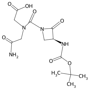 CC(C)(C)OC(=O)N[C@H]1CN(C(=O)N(CC(N)=O)CC(=O)O)C1=O